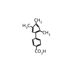 Cc1cc(C)c(-c2ccc(C(=O)O)cc2)cc1C